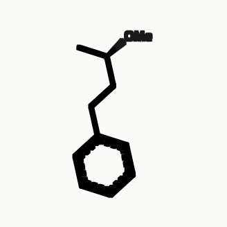 CO[C@H](C)CCc1ccccc1